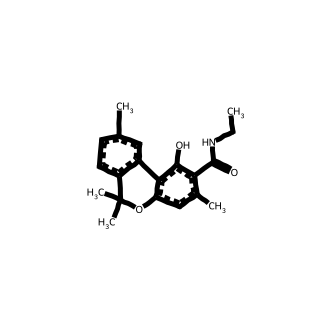 CCNC(=O)c1c(C)cc2c(c1O)-c1cc(C)ccc1C(C)(C)O2